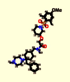 COc1cc(C)c(S(=O)(=O)N2CCCC(OCC(=O)N(C)CC3CCC(Cc4ccccc4)(N4CCN(C)CC4)CC3)C2)c(C)c1